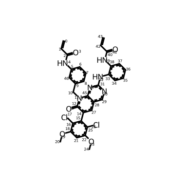 C=CC(=O)Nc1cccc(Cn2c(=O)c(-c3c(Cl)c(OC)cc(OC)c3Cl)cc3cnc(Nc4ccccc4NC(=O)C=C)nc32)c1